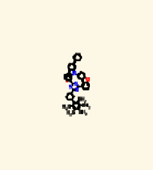 Bc1c(B)c(B)c(-c2cccc(-c3nc(C4=CCC=C4)nc(-c4cccc5oc6ccc(-n7c8c(c9ccc(-c%10ccccc%10)cc97)C=CCC8)cc6c45)n3)c2)c(B)c1B